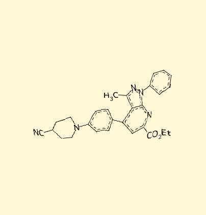 CCOC(=O)c1cc(-c2ccc(N3CCC(C#N)CC3)cc2)c2c(C)nn(-c3ccccc3)c2n1